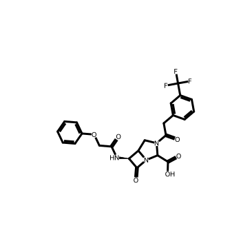 O=C(COc1ccccc1)N[C@@H]1C(=O)N2C1CN(C(=O)Cc1cccc(C(F)(F)F)c1)C2C(=O)O